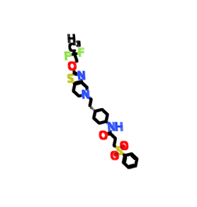 CC(F)(F)COc1nc2c(s1)CCN(CC[C@H]1CC[C@H](NC(=O)CCS(=O)(=O)c3ccccc3)CC1)C2